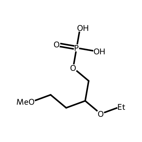 CCOC(CCOC)COP(=O)(O)O